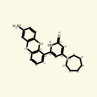 Nc1ccc2c(c1)Sc1cccc(-c3cc(N4CCCCCC4)cc(=O)[nH]3)c1S2